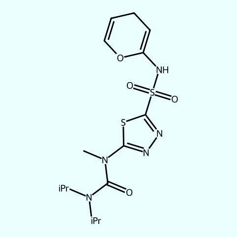 CC(C)N(C(=O)N(C)c1nnc(S(=O)(=O)NC2=CCC=CO2)s1)C(C)C